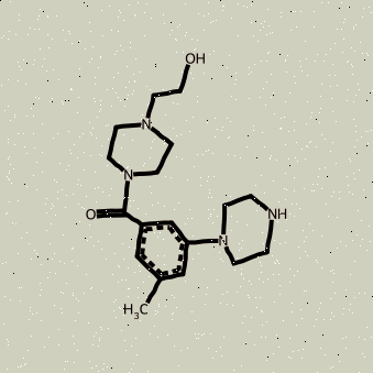 Cc1cc(C(=O)N2CCN(CCO)CC2)cc(N2CCNCC2)c1